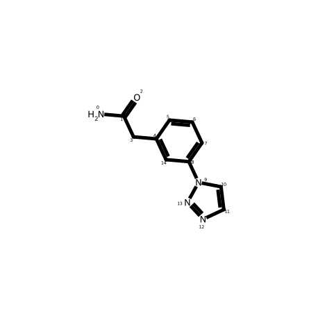 NC(=O)Cc1cccc(-n2ccnn2)c1